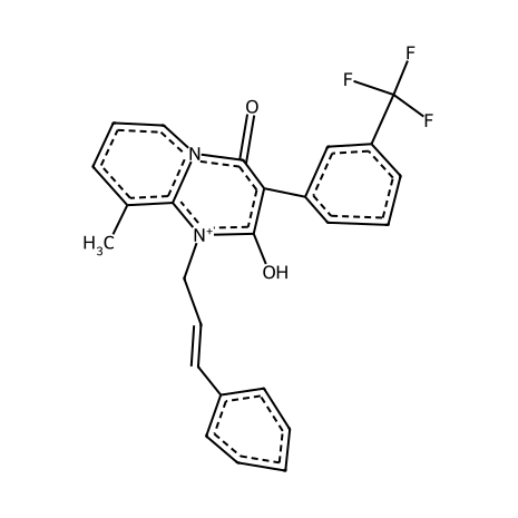 Cc1cccn2c(=O)c(-c3cccc(C(F)(F)F)c3)c(O)[n+](CC=Cc3ccccc3)c12